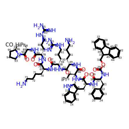 CC(C)C[C@H](NC(=O)[C@H](Cc1c[nH]c2ccccc12)NC(=O)[C@H](Cc1ccccc1)NC(=O)OCC1c2ccccc2-c2ccccc21)C(=O)N[C@@H](CCCCN)C(=O)N[C@@H](CCCNC(=N)N)C(=O)N[C@@H](CCCCN)C(=O)N[C@@H](CCCNC(=N)N)C(=O)N[C@H](C(=O)N1CCC[C@H]1C(=O)O)C(C)C